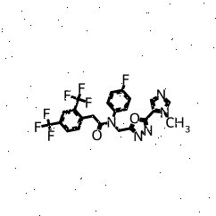 Cn1cncc1-c1nnc(CN(C(=O)Cc2ccc(C(F)(F)F)cc2C(F)(F)F)c2ccc(F)cc2)o1